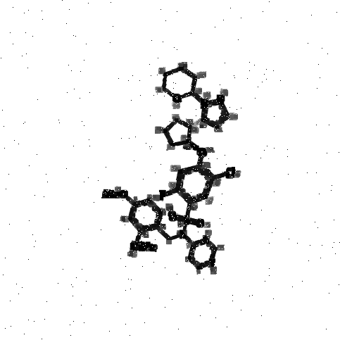 COc1ccc(CN(c2ccncn2)S(=O)(=O)c2cc(Cl)c(O[C@H]3CCC[C@@H]3c3ccnn3C3CCCCO3)cc2F)c(OC)c1